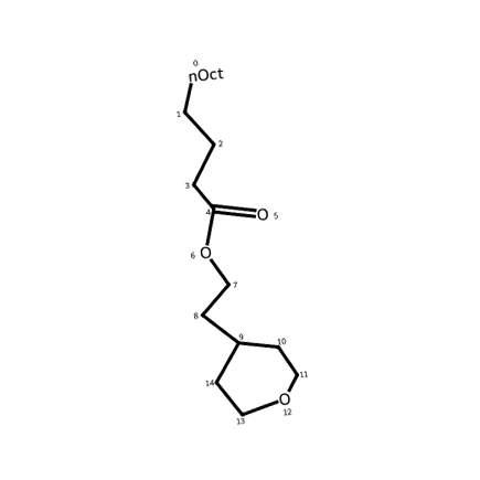 CCCCCCCCCCCC(=O)OCCC1CCOCC1